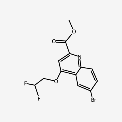 COC(=O)c1cc(OCC(F)F)c2cc(Br)ccc2n1